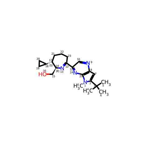 Cn1c(C(C)(C)C)cc2ncc(C3=N[C@@H](CO)[C@H](C4CC4)CCC3)nc21